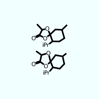 CC1CCC(C(C)C)C2(C1)OC(=O)C(C)O2.CC1CCC(C(C)C)C2(C1)OC(=O)C(C)O2